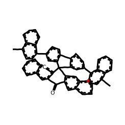 Cc1ccc(-c2ccc3c(c2)C2(c4cc5ccccc5cc4C(=O)c4cc5ccccc5cc42)c2cc(-c4ccc(C)c5ccccc45)ccc2-3)c2ccccc12